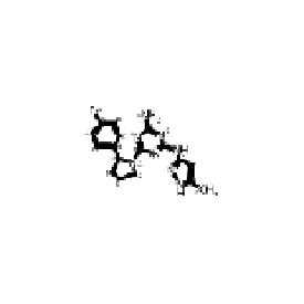 Cc1cc(Nc2nc(N)nc(N3CCCC3c3ccc(F)cc3)n2)n[nH]1